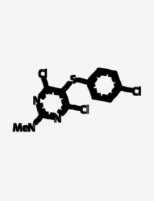 CNc1nc(Cl)c(Sc2ccc(Cl)cc2)c(Cl)n1